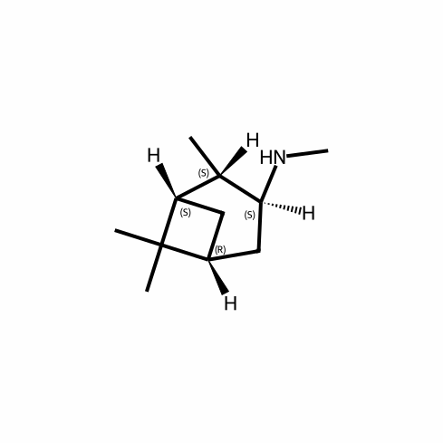 CN[C@H]1C[C@H]2C[C@@H]([C@@H]1C)C2(C)C